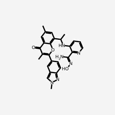 Cc1cc(C(C)Nc2cccnc2C(N)=NO)c2oc(-c3ccc4nn(C)cc4c3)c(C)c(=O)c2c1